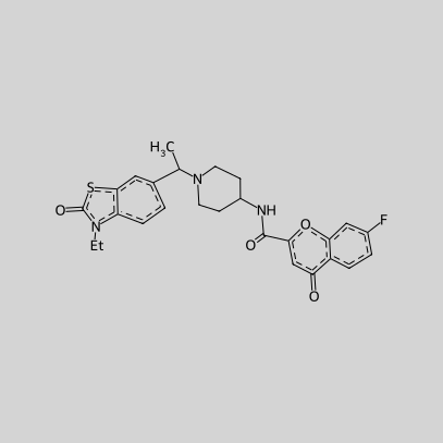 CCn1c(=O)sc2cc(C(C)N3CCC(NC(=O)c4cc(=O)c5ccc(F)cc5o4)CC3)ccc21